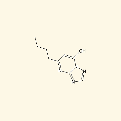 CCCCc1cc(O)n2ncnc2n1